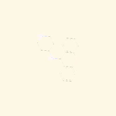 c1ccc2c(c1)Oc1ccccc1C2NC1CCNCC1